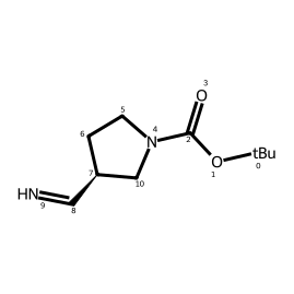 CC(C)(C)OC(=O)N1CC[C@H](C=N)C1